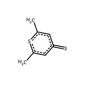 Cc1cc(=S)cc(C)s1